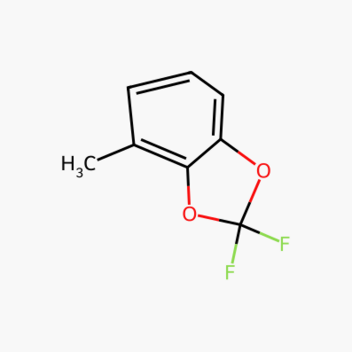 Cc1cccc2c1OC(F)(F)O2